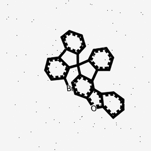 Brc1cccc2c1C1(c3ccccc3-2)c2ccccc2-c2c1ccc1oc3ccccc3c21